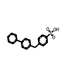 O=S(=O)(O)c1ccc(Cc2ccc(-c3ccccc3)cc2)cc1